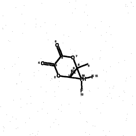 CCC12OC(=O)C(=O)OC1(C)[PH]2(F)F